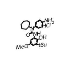 COc1cc(NC(=O)N(c2ccc(N)cc2)C2CCCCCC2)c(O)c(C(C)(C)C)c1.Cl